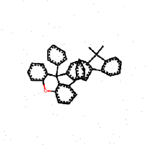 CC1(C)c2ccccc2-c2cc(-c3cccc4c3C(c3ccccc3)(c3ccccc3)c3ccccc3O4)ccc21